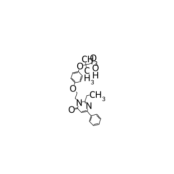 CCc1nc(-c2ccccc2)cc(=O)n1CCOc1ccc(OC(C)(C)C(=O)O)cc1